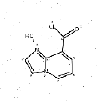 Cl.O=C(Cl)c1cccn2ccnc12